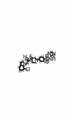 CC1CN(c2ccc(S(=O)(=O)Nc3ncns3)cc2)CCN1C(=O)Cn1ccc2cccc(Cl)c21